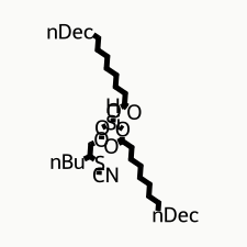 CCCCCCCCCCCCCCCCCC(=O)O[SiH](OOCC(CCCC)SC#N)OC(=O)CCCCCCCCCCCCCCCCC